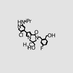 CC(C)Nc1cc(-c2cc3n(c2)CC(C)(CO)CN(Cc2cc(F)ccc2CO)C3=O)c(Cl)cn1